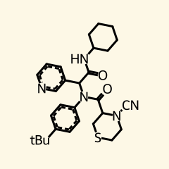 CC(C)(C)c1ccc(N(C(=O)C2CSCCN2C#N)C(C(=O)NC2CCCCC2)c2cccnc2)cc1